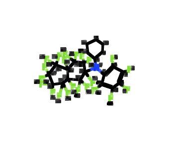 Fc1c(F)c(F)c(N(C2CCCCC2)C2(F)C(F)(F)C(F)(F)C3(F)C(F)(F)C(F)(F)C(F)(F)C(F)(F)C3(F)C2(F)F)c(F)c1F